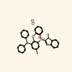 Cc1cc(C(c2ccccc2)c2ccccc2)c(Oc2ccccc2)[c]([Ti+2]([C]2=Cc3ccccc3C2C)[SiH](C)C)c1.[Cl-].[Cl-]